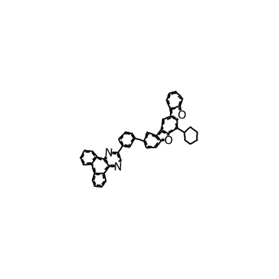 c1cc(-c2ccc3oc4c(C5CCCCC5)c5oc6ccccc6c5cc4c3c2)cc(-c2cnc3c4ccccc4c4ccccc4c3n2)c1